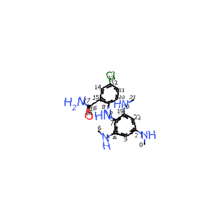 CNc1cc(NC)c(Nc2ccc(Cl)cc2C(N)=O)c(NC)c1